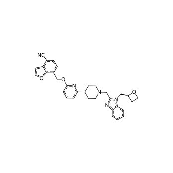 N#Cc1ccc(COc2cccc(C3CCN(Cc4nc5ccccc5n4C[C@@H]4CCO4)CC3)n2)c2occc12